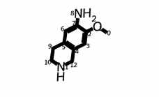 COc1cc2c(cc1N)CCNC2